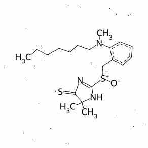 CCCCCCCN(C)c1ccccc1C[S+]([O-])C1=NC(=S)C(C)(C)N1